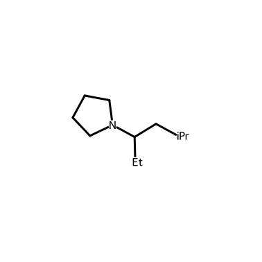 CCC(CC(C)C)N1CCCC1